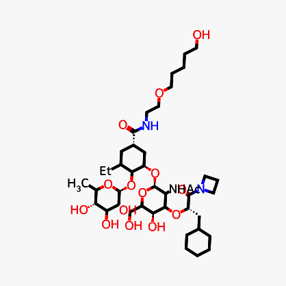 CCC1C[C@H](C(=O)NCCOCCCCCO)C[C@@H](O[C@@H]2OC(CO)[C@H](O)C(O[C@@H](CC3CCCCC3)C(=O)N3CCC3)C2NC(C)=O)C1O[C@@H]1OC(C)[C@@H](O)C(O)C1O